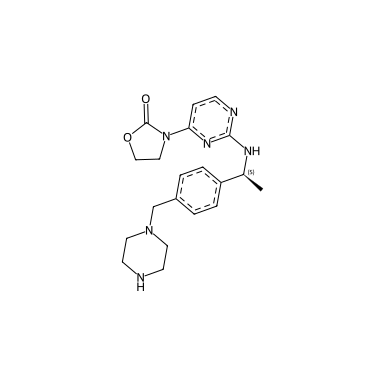 C[C@H](Nc1nccc(N2CCOC2=O)n1)c1ccc(CN2CCNCC2)cc1